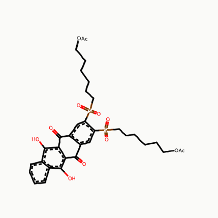 CC(=O)OCCCCCCS(=O)(=O)c1cc2c(cc1S(=O)(=O)CCCCCCOC(C)=O)C(=O)c1c(c(O)c3ccccc3c1O)C2=O